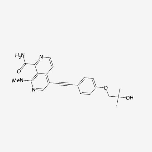 CNc1ncc(C#Cc2ccc(OCC(C)(C)O)cc2)c2ccnc(C(N)=O)c12